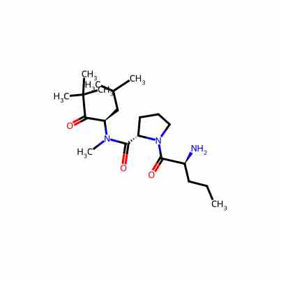 CCC[C@H](N)C(=O)N1CCC[C@H]1C(=O)N(C)[C@H](CC(C)C)C(=O)C(C)(C)C